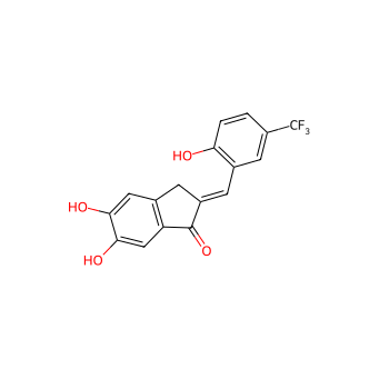 O=C1C(=Cc2cc(C(F)(F)F)ccc2O)Cc2cc(O)c(O)cc21